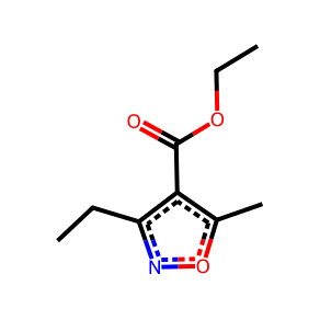 CCOC(=O)c1c(CC)noc1C